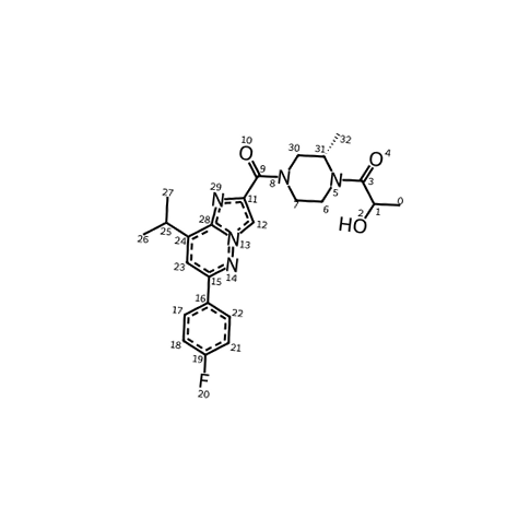 CC(O)C(=O)N1CCN(C(=O)c2cn3nc(-c4ccc(F)cc4)cc(C(C)C)c3n2)C[C@@H]1C